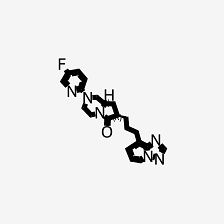 O=C1[C@H](CCCc2cccn3ncnc23)C[C@H]2CN(c3ccc(F)cn3)CCN12